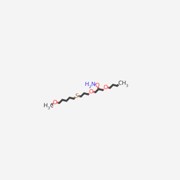 CCCCOCC(COCCCSCCCCCOC)ON